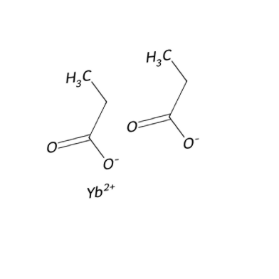 CCC(=O)[O-].CCC(=O)[O-].[Yb+2]